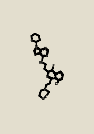 Fc1c(CCNc2ncnc3c2ncn3[C@@H]2CCCCO2)nc(CCN2CCOCC2)c2c(Cl)cccc12